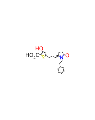 O=C(O)c1sc(CCC[C@H]2CCC(=O)N2CCc2ccccc2)cc1O